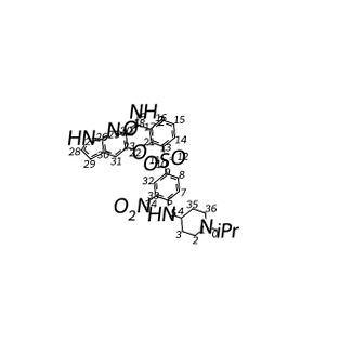 CC(C)N1CCC(Nc2ccc(S(=O)(=O)c3cccc(C(N)=O)c3Oc3cnc4[nH]ccc4c3)cc2[N+](=O)[O-])CC1